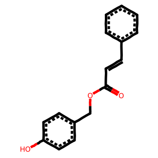 O=C(/C=C/c1ccccc1)OCc1ccc(O)cc1